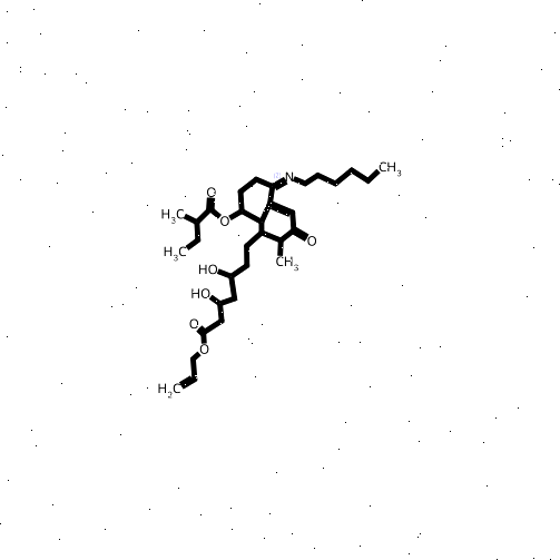 C=CCOC(=O)CC(O)CC(O)CCC1C(C)C(=O)C=C2/C(=N\CCCCCC)CCC(OC(=O)C(C)CC)C21